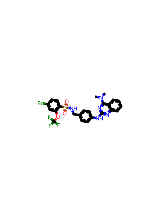 CN(C)c1nc(Nc2ccc(CNS(=O)(=O)c3ccc(Br)cc3OC(F)(F)F)cc2)nc2ccccc12